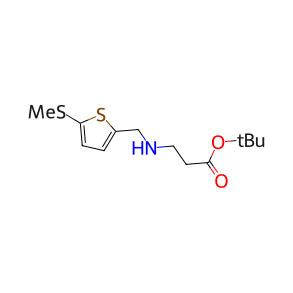 CSc1ccc(CNCCC(=O)OC(C)(C)C)s1